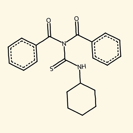 O=C(c1ccccc1)N(C(=O)c1ccccc1)C(=S)NC1CCCCC1